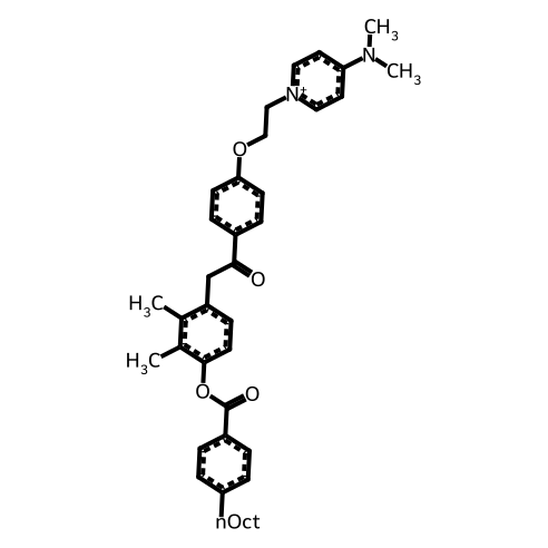 CCCCCCCCc1ccc(C(=O)Oc2ccc(CC(=O)c3ccc(OCC[n+]4ccc(N(C)C)cc4)cc3)c(C)c2C)cc1